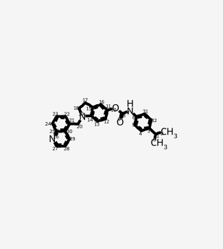 CC(C)c1ccc(NC(=O)Oc2ccc3c(c2)CCN3Cc2cccc3ncccc23)cc1